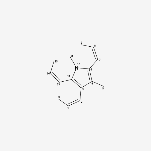 C/C=C\c1c(C)c(/C=C\C)n(C)c1/C=C\C